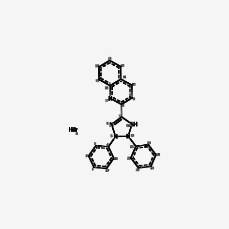 Br.c1ccc(N2N=C(c3ccc4ccccc4n3)NN2c2ccccc2)cc1